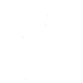 CC(C)(C)C(=O)N1CCc2c([nH]c3ccc(Br)cc23)C1=O